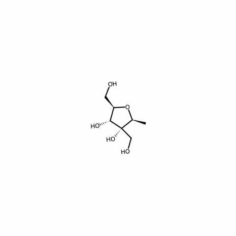 C[C@@H]1O[C@H](CO)[C@@H](O)[C@]1(O)CO